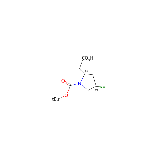 CC(C)(C)OC(=O)N1C[C@H](F)C[C@H]1CC(=O)O